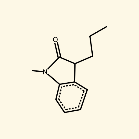 CCCC1C(=O)N(C)c2ccccc21